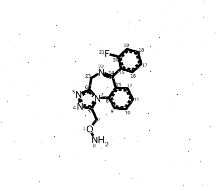 NOCc1nnc2n1-c1ccccc1C(c1ccccc1F)=NC2